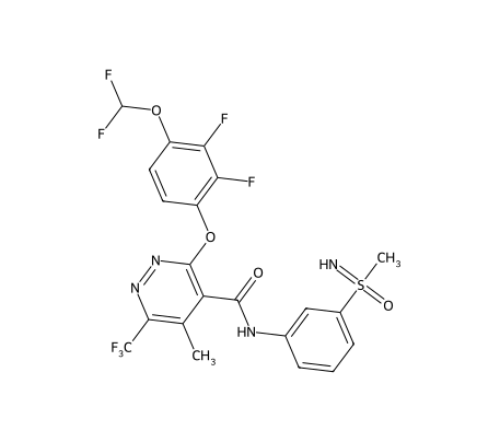 Cc1c(C(F)(F)F)nnc(Oc2ccc(OC(F)F)c(F)c2F)c1C(=O)Nc1cccc(S(C)(=N)=O)c1